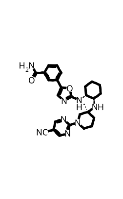 C[C@]1(N[C@@H]2CCCC[C@H]2Nc2ncc(-c3cccc(C(N)=O)c3)o2)CCCN(c2ncc(C#N)cn2)C1